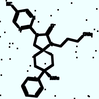 CN[C@]1(c2ccccc2)CC[C@]2(CC1)CN(c1ncc(C#N)cn1)C(=O)N2CCCOC